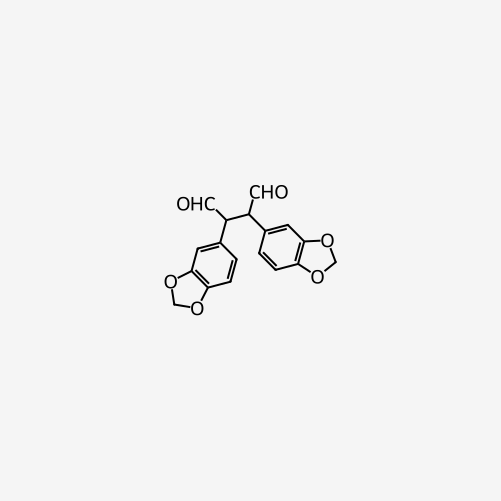 O=CC(c1ccc2c(c1)OCO2)C(C=O)c1ccc2c(c1)OCO2